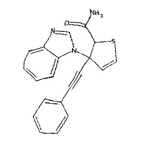 NC(=O)C1SC=CC1(C#Cc1ccccc1)n1cnc2ccccc21